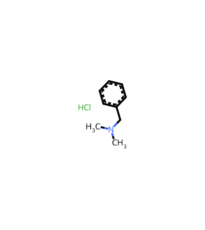 CN(C)Cc1ccccc1.Cl